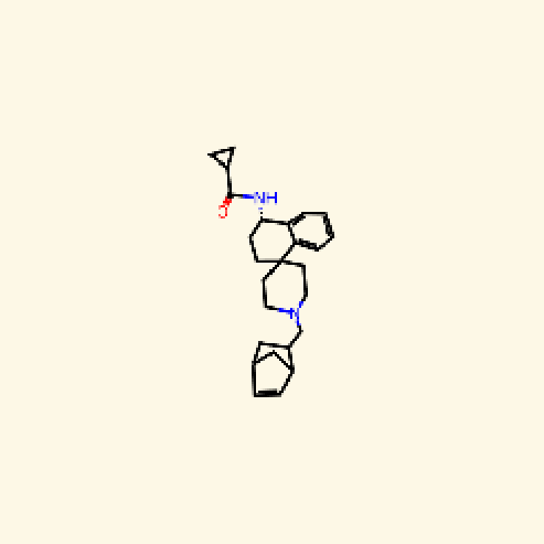 O=C(N[C@H]1CCC2(CCN(CC3CC4C=CC3C4)CC2)c2ccccc21)C1CC1